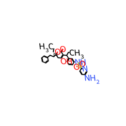 CCC[C@@]1(CCc2ccccc2)CC(O)=C(C(CC)c2cccc(NS(=O)(=O)c3ccc(N)cn3)c2)C(=O)O1